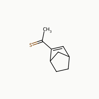 CC(=S)C1=CC2CCC1C2